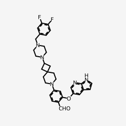 O=Cc1ccc(N2CCC3(CC2)CC(N2CCN(Cc4ccc(F)c(F)c4)CC2)C3)cc1Oc1cnc2[nH]ccc2c1